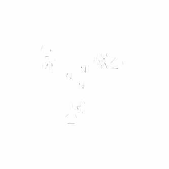 Cc1ccc(S(=O)(=O)OCCN2CCN(CCOS(=O)(=O)c3ccc(C)cc3)CCN(CCOS(=O)(=O)c3ccc(C)cc3)CC2)cc1